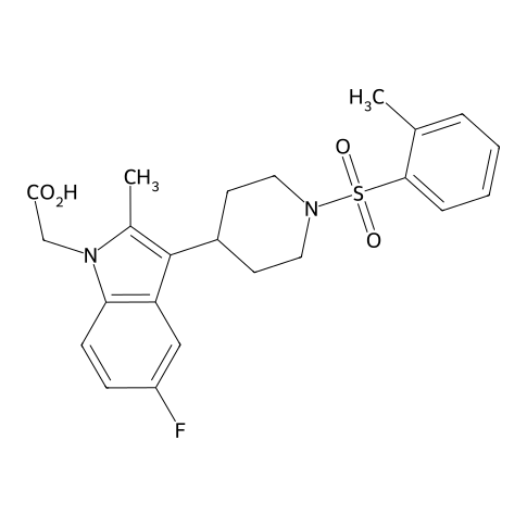 Cc1ccccc1S(=O)(=O)N1CCC(c2c(C)n(CC(=O)O)c3ccc(F)cc23)CC1